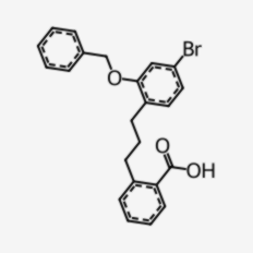 O=C(O)c1ccccc1CCCc1ccc(Br)cc1OCc1ccccc1